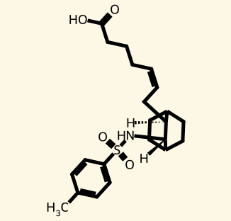 Cc1ccc(S(=O)(=O)N[C@H]2C3CCC(CC3)[C@@H]2C/C=C\CCCC(=O)O)cc1